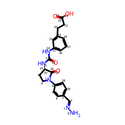 NN=Cc1ccc(N2CC[C@H](NC(=O)Nc3cccc(CCC(=O)O)c3)C2=O)cc1